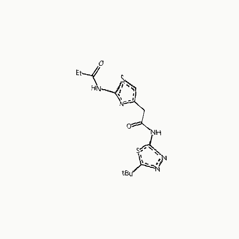 CCC(=O)Nc1nc(CC(=O)Nc2nnc(C(C)(C)C)s2)cs1